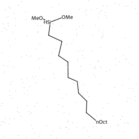 CCCCCCCCCCCCCCCCC[SiH](OC)OC